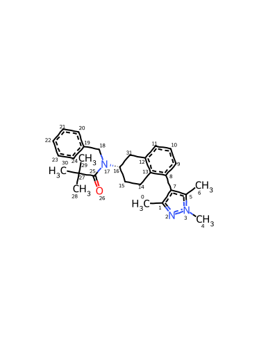 Cc1nn(C)c(C)c1-c1cccc2c1CC[C@H](N(Cc1ccccc1)C(=O)C(C)(C)C)C2